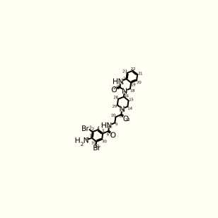 Nc1c(Br)cc(C(=O)NCCC(=O)N2CCC(N3Cc4ccccc4NC3=O)CC2)cc1Br